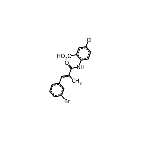 C/C(=C\c1cccc(Br)c1)C(=O)Nc1ccc(Cl)cc1C(=O)O